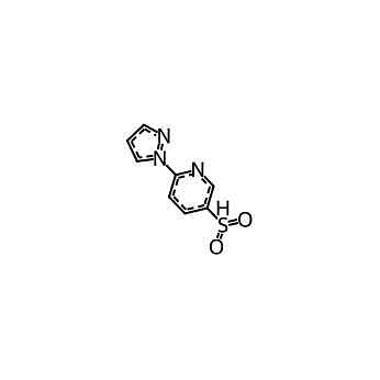 O=[SH](=O)c1ccc(-n2cccn2)nc1